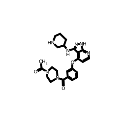 CC(=O)N1CCN(C(=O)c2cccc(Oc3ccnc4[nH]nc(NC5CCCNC5)c34)c2)CC1